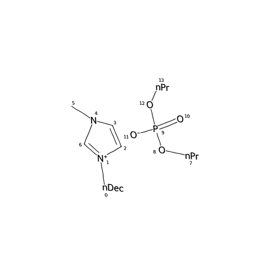 CCCCCCCCCC[n+]1ccn(C)c1.CCCOP(=O)([O-])OCCC